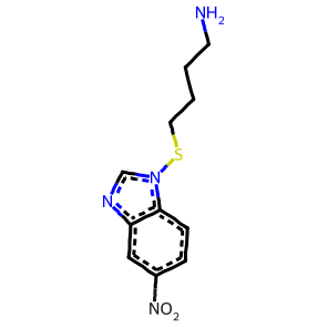 NCCCCSn1cnc2cc([N+](=O)[O-])ccc21